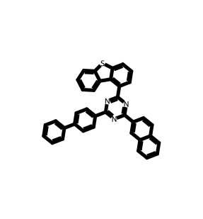 c1ccc(-c2ccc(-c3nc(-c4ccc5ccccc5c4)nc(-c4cccc5sc6ccccc6c45)n3)cc2)cc1